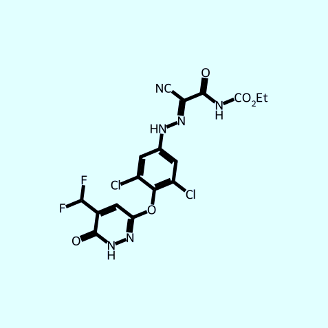 CCOC(=O)NC(=O)/C(C#N)=N/Nc1cc(Cl)c(Oc2cc(C(F)F)c(=O)[nH]n2)c(Cl)c1